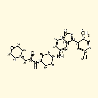 CC1C=CC(Cl)=CC1c1cnc2ccc(N[C@H]3CC[C@H](NC(=O)CN4CCOCC4)CC3)nn12